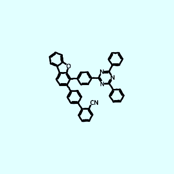 N#Cc1ccccc1-c1ccc(-c2ccc3c(oc4ccccc43)c2-c2ccc(-c3nc(-c4ccccc4)nc(-c4ccccc4)n3)cc2)cc1